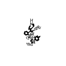 Cc1ccc(-n2nc(C(C)(C)C)cc2NC(=O)Nc2ccccc2C(C(=O)C(C)(C)C)C2CCNCC2)cc1